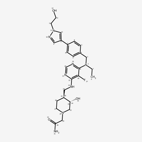 CCN(Cc1ccc(-c2cnn(CCO)c2)cc1)c1ncnc(NC[C@@H]2CCN(CC(N)=O)C[C@H]2O)c1F